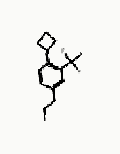 CCCc1ccc(C2CCC2)c(C(F)(F)F)c1